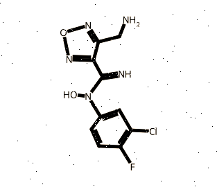 N=C(c1nonc1CN)N(O)c1ccc(F)c(Cl)c1